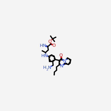 CCCCc1nc2ccccn2c(=O)c1-c1ccc(NC(C)CC(=N)C(=O)OC(C)(C)C)cc1CN